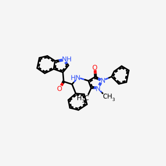 Cc1c(NC(C(=O)c2c[nH]c3ccccc23)c2ccccc2)c(=O)n(-c2ccccc2)n1C